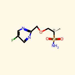 C[C@@H](COCc1ncc(F)cn1)S(N)(=O)=O